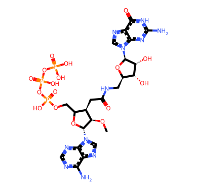 CO[C@@H]1[C@H](CC(=O)NC[C@H]2O[C@@H](n3cnc4c(=O)[nH]c(N)nc43)[C@H](O)[C@@H]2O)C(COP(=O)(O)OP(=O)(O)OP(=O)(O)O)O[C@H]1n1cnc2c(N)ncnc21